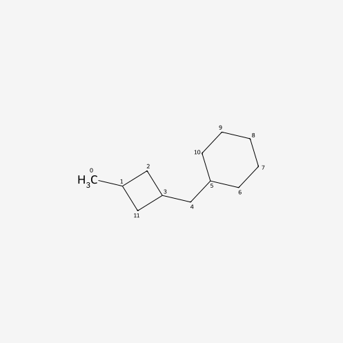 CC1CC(CC2CCCCC2)C1